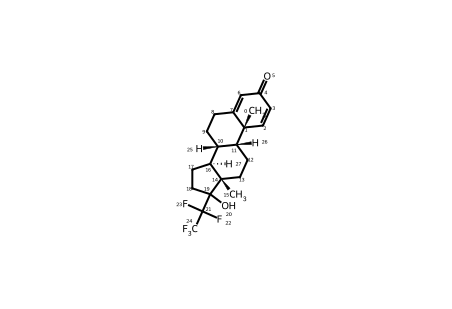 C[C@]12C=CC(=O)C=C1CC[C@@H]1[C@H]2CC[C@@]2(C)[C@H]1CCC2(O)C(F)(F)C(F)(F)F